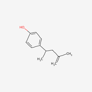 C=C(C)CC(C)c1ccc(O)cc1